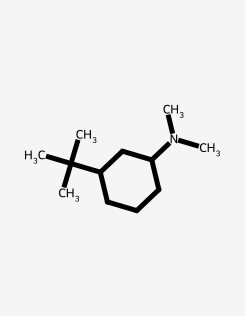 CN(C)C1CCCC(C(C)(C)C)C1